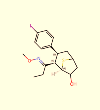 CCC(=NOC)[C@H]1[C@@H](c2ccc(I)cc2)CC2CC(O)[C@@H]1S2